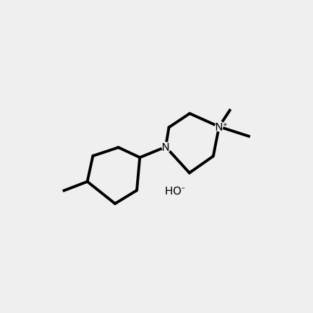 CC1CCC(N2CC[N+](C)(C)CC2)CC1.[OH-]